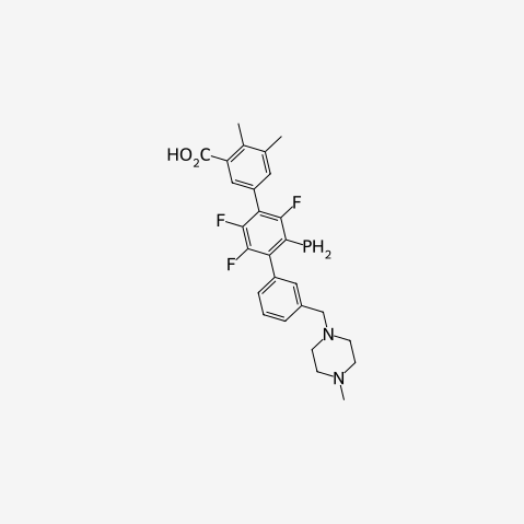 Cc1cc(-c2c(F)c(F)c(-c3cccc(CN4CCN(C)CC4)c3)c(P)c2F)cc(C(=O)O)c1C